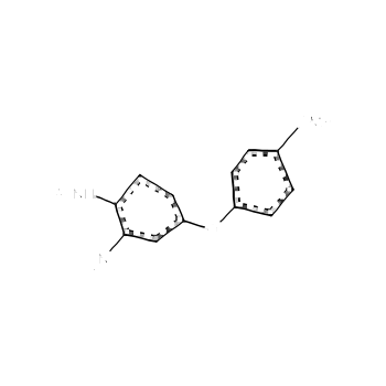 CSc1ccc(Oc2ccc(NC(C)=O)c(N)c2)cc1